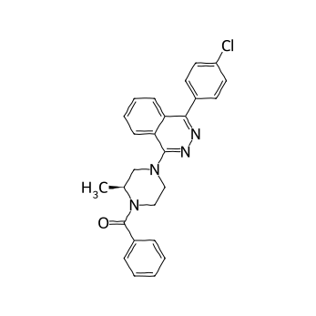 C[C@H]1CN(c2nnc(-c3ccc(Cl)cc3)c3ccccc23)CCN1C(=O)c1ccccc1